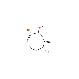 C=C1/C=C(OC)\C(Br)=C/CCCC1=O